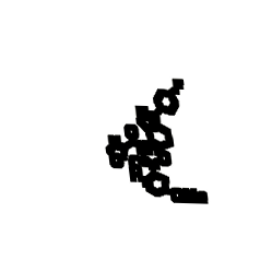 COc1cccc([C@H](Oc2ccc3c(cnn3-c3ccc(F)cc3)c2)[C@H](C)NC(=O)c2cocn2)c1